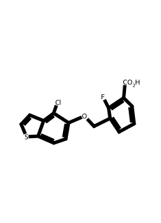 O=C(O)c1cccc(COc2ccc3sccc3c2Cl)c1F